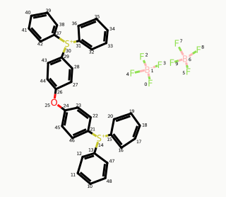 F[B-](F)(F)F.F[B-](F)(F)F.c1ccc([S+](c2ccccc2)c2ccc(Oc3ccc([S+](c4ccccc4)c4ccccc4)cc3)cc2)cc1